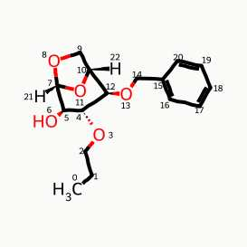 CCCO[C@@H]1[C@@H](O)[C@@H]2OC[C@@H](O2)[C@H]1OCc1ccccc1